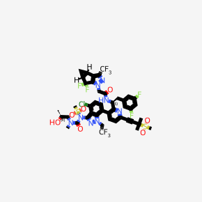 C[C@@H](O)CN(C)C(=O)N(c1nn(CC(F)(F)F)c2c(-c3ccc(C#CC(C)(C)S(C)(=O)=O)nc3[C@H](Cc3cc(F)cc(F)c3)NC(=O)Cn3nc(C(F)(F)F)c4c3C(F)(F)[C@@H]3C[C@H]43)ccc(Cl)c12)S(C)(=O)=O